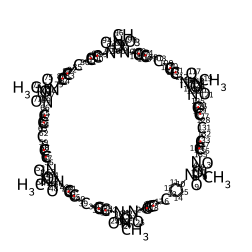 Cn1c(=O)n2c(=O)n(c1=O)-c1ccc(cc1)Cc1ccc(cc1)-n1c(=O)n(C)c(=O)n(c1=O)-c1ccc(cc1)Cc1ccc(cc1)-n1c(=O)n(C)c(=O)n(c1=O)-c1ccc(cc1)Cc1ccc(cc1)-n1c(=O)n(C)c(=O)n(c1=O)-c1ccc(cc1)Cc1ccc(cc1)-n1c(=O)n(C)c(=O)n(c1=O)-c1ccc(cc1)Cc1ccc(cc1)-n1c(=O)n(C)c(=O)n(c1=O)-c1ccc(cc1)Cc1ccc-2cc1